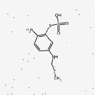 CCCNc1ccc(N)c(SS(=O)(=O)O)c1